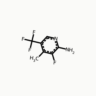 Cc1c(C(F)(F)F)cnc(N)c1F